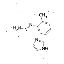 Cc1ccccc1N=NN.c1c[nH]cn1